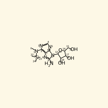 CN(c1ncnc2c1nc(N)n2C1OC(CO)C(O)C1O)[Si](C)(C)C